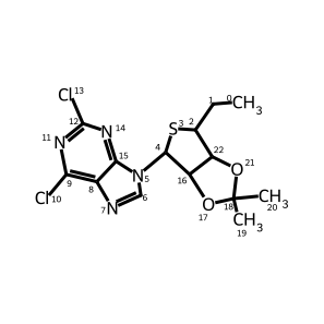 CCC1SC(n2cnc3c(Cl)nc(Cl)nc32)C2OC(C)(C)OC12